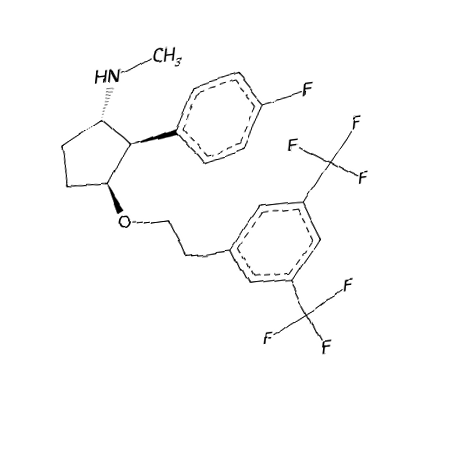 CN[C@H]1CC[C@H](OCCc2cc(C(F)(F)F)cc(C(F)(F)F)c2)[C@@H]1c1ccc(F)cc1